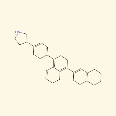 C1=CC2=C(C3=CC=C(C4CCNC4)CC3)CCC(C3=CC4=C(CCCC4)CC3)=C2CC1